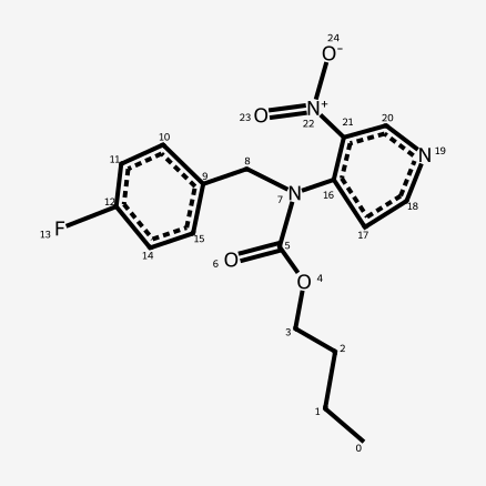 CCCCOC(=O)N(Cc1ccc(F)cc1)c1ccncc1[N+](=O)[O-]